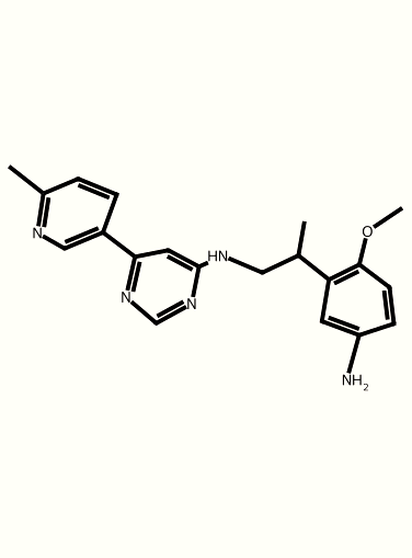 COc1ccc(N)cc1C(C)CNc1cc(-c2ccc(C)nc2)ncn1